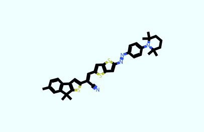 Cc1ccc2c(c1)C(C)(C)c1sc(/C(C#N)=C/c3cc4sc(/N=N/c5ccc(N6C(C)(C)CCCC6(C)C)cc5)cc4s3)cc1-2